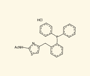 CC(=O)Nc1nc(Cc2ccccc2P(c2ccccc2)c2ccccc2)cs1.Cl